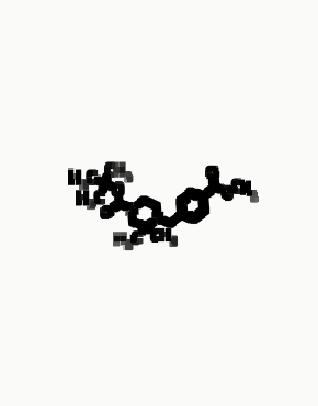 COC(=O)c1ccc(CN2CCN(C(=O)OC(C)(C)C)CC2(C)C)cc1